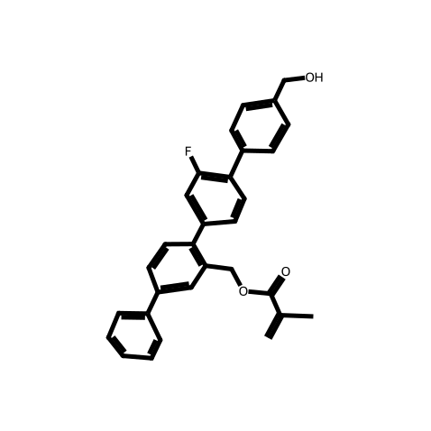 C=C(C)C(=O)OCc1cc(-c2ccccc2)ccc1-c1ccc(-c2ccc(CO)cc2)c(F)c1